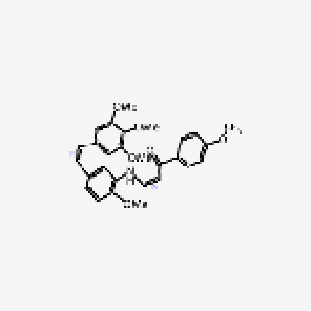 COc1ccc(/C=C\c2cc(OC)c(OC)c(OC)c2)cc1N/C=C\C(=O)c1ccc(OC(F)(F)F)cc1